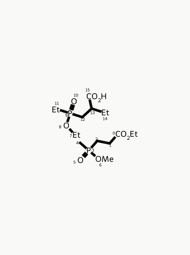 CCOC(=O)CCP(C)(=O)OC.CCOP(=O)(CC)CC(CC)C(=O)O